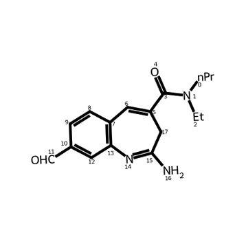 CCCN(CC)C(=O)C1=Cc2ccc(C=O)cc2N=C(N)C1